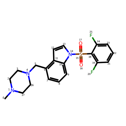 CN1CCN(Cc2cccc3c2ccn3S(=O)(=O)c2c(F)cccc2F)CC1